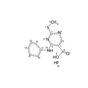 CSc1ncc(C(=O)O)c(Nc2ccccc2)n1.F